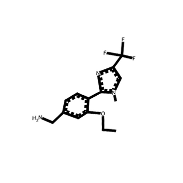 CCOc1cc(CN)ccc1-c1nc(C(F)(F)F)cn1C